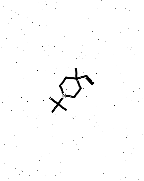 C=CC1(C)CCN(C(C)(C)C)CC1